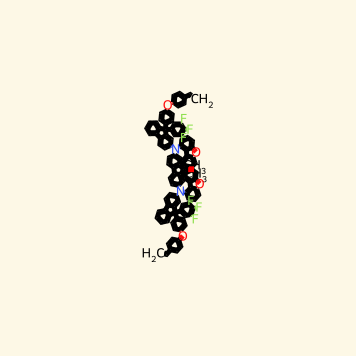 C=Cc1ccc(Oc2ccc(C3(c4cc(F)c(F)c(F)c4)c4ccccc4-c4ccc(N(c5ccc6c(c5)C(C)(C)c5cc(N(c7ccc8c(c7)C(c7ccc(Oc9ccc(C=C)cc9)cc7)(c7cc(F)c(F)c(F)c7)c7ccccc7-8)c7cccc8oc9ccccc9c78)ccc5-6)c5cccc6oc7ccccc7c56)cc43)cc2)cc1